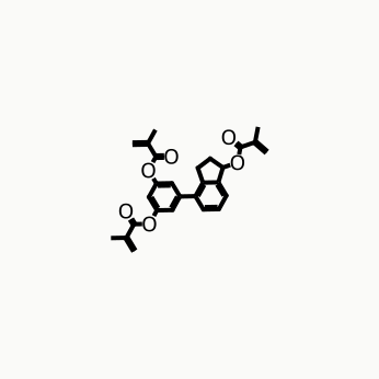 C=C(C)C(=O)Oc1cc(OC(=O)C(=C)C)cc(-c2cccc3c2CCC3OC(=O)C(=C)C)c1